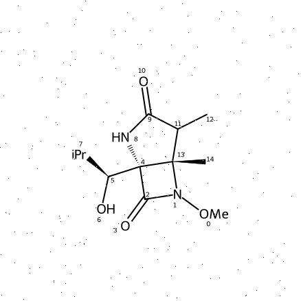 CON1C(=O)[C@]2([C@@H](O)C(C)C)NC(=O)C(C)[C@]12C